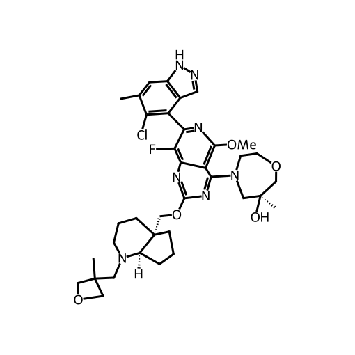 COc1nc(-c2c(Cl)c(C)cc3[nH]ncc23)c(F)c2nc(OC[C@]34CCC[C@H]3N(CC3(C)COC3)CCC4)nc(N3CCOC[C@@](C)(O)C3)c12